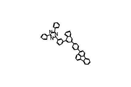 c1ccc(-c2nc(-c3ccccc3)nc(-c3cccc(-c4cc(-c5ccc(-c6ccc7c8c(cccc68)-c6ccccc6-7)cc5)cc5ccccc45)c3)n2)cc1